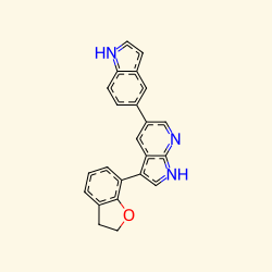 c1cc2c(c(-c3c[nH]c4ncc(-c5ccc6[nH]ccc6c5)cc34)c1)OCC2